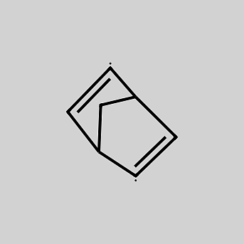 [C]1=CC2[C]=CC1C2